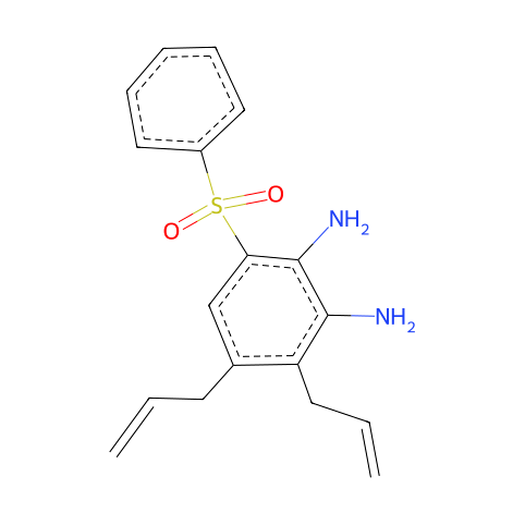 C=CCc1cc(S(=O)(=O)c2ccccc2)c(N)c(N)c1CC=C